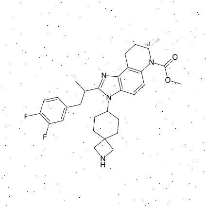 COC(=O)N1c2ccc3c(nc(C(C)Cc4ccc(F)c(F)c4)n3C3CCC4(CC3)CNC4)c2CC[C@@H]1C